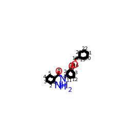 Nc1ccccc1C(=O)Nc1cccc(OOCc2ccccc2)c1